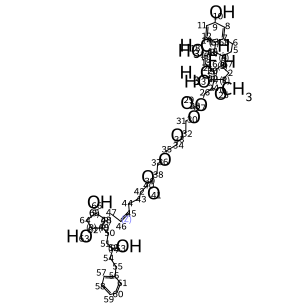 C[C@@H]1C[C@H]2[C@@H]3CCC4=CC(O)C=C[C@]4(C)[C@@]3(F)[C@@H](O)C[C@]2(C)[C@@]1(O)C(=O)COC(=O)OCCOCCOCCOC(=O)CCC/C=C\C[C@@H]1[C@@H](CC[C@@H](O)CCc2ccccc2)[C@H](O)C[C@@H]1O